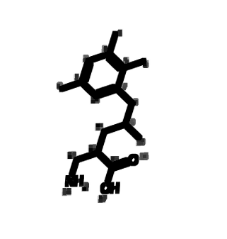 Cc1cc(C)c(C)c(CC(C)CC(CN)C(=O)O)c1